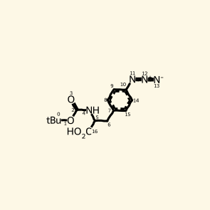 CC(C)(C)OC(=O)NC(Cc1ccc(N=[N+]=[N-])cc1)C(=O)O